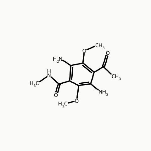 CNC(=O)c1c(N)c(OC)c(C(C)=O)c(N)c1OC